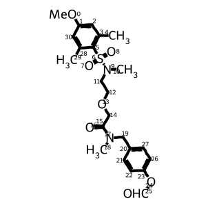 COc1cc(C)c(S(=O)(=O)N(C)CCOCC(=O)N(C)Cc2ccc(OC=O)cc2)c(C)c1